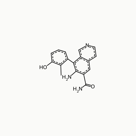 Cc1c(O)cccc1-c1c(N)c(C(N)=O)cc2ccncc12